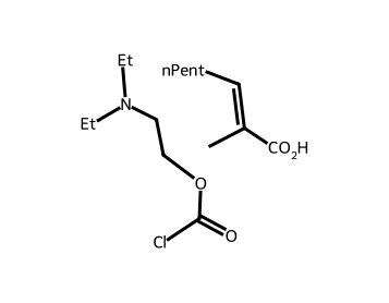 CCCCCC=C(C)C(=O)O.CCN(CC)CCOC(=O)Cl